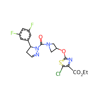 CCOC(=O)c1nc(OC2CN(C(=O)N3N=CCC3c3cc(F)cc(F)c3)C2)sc1Cl